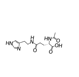 CC(=O)N[C@@H](CCC(=O)NCCc1c[nH]cn1)C(=O)O